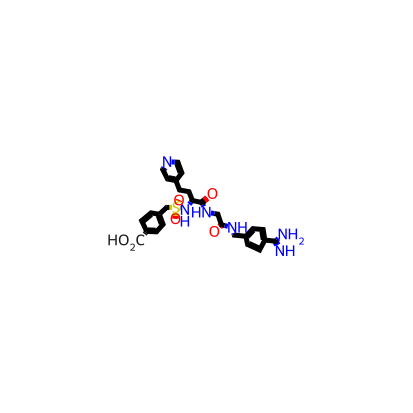 N=C(N)c1ccc(CNC(=O)CNC(=O)C(CCc2ccncc2)NS(=O)(=O)Cc2ccc(C(=O)O)cc2)cc1